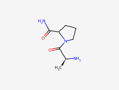 C[C@H](N)C(=O)N1CCCC1C(N)=O